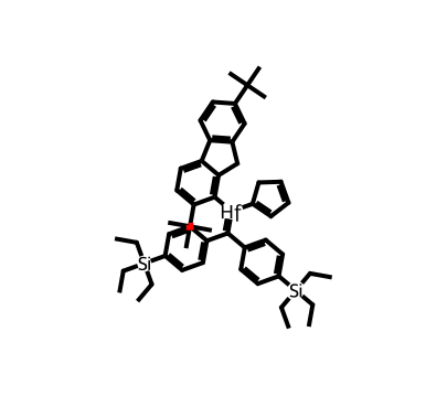 CC[Si](CC)(CC)c1ccc([C](c2ccc([Si](CC)(CC)CC)cc2)=[Hf]([C]2=CC=CC2)[c]2c(C(C)(C)C)ccc3c2Cc2cc(C(C)(C)C)ccc2-3)cc1